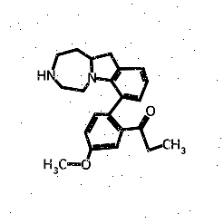 CCC(=O)c1cc(OC)ccc1-c1cccc2c1N1CCNCCC1C2